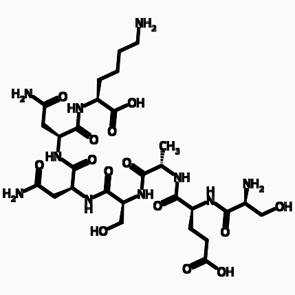 C[C@H](NC(=O)[C@H](CCC(=O)O)NC(=O)[C@@H](N)CO)C(=O)N[C@@H](CO)C(=O)N[C@@H](CC(N)=O)C(=O)N[C@@H](CC(N)=O)C(=O)N[C@@H](CCCCN)C(=O)O